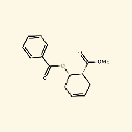 COC(=O)[C@@H]1CC=CC[C@@H]1OC(=O)c1ccccc1